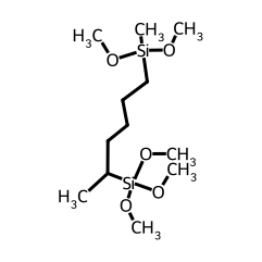 CO[Si](C)(CCCCC(C)[Si](OC)(OC)OC)OC